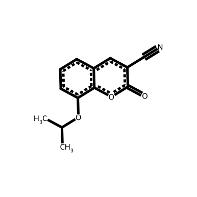 CC(C)Oc1cccc2cc(C#N)c(=O)oc12